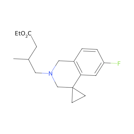 CCOC(=O)CC(C)CN1Cc2ccc(F)cc2C2(CC2)C1